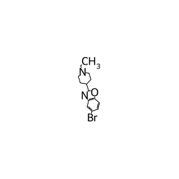 CCN1CCC(c2nc3cc(Br)ccc3o2)CC1